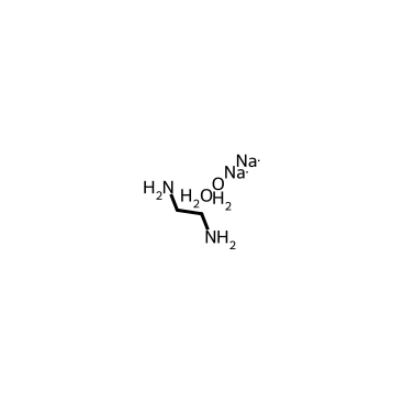 NCCN.O.O.[Na].[Na]